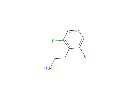 NCCc1c(F)cccc1Cl